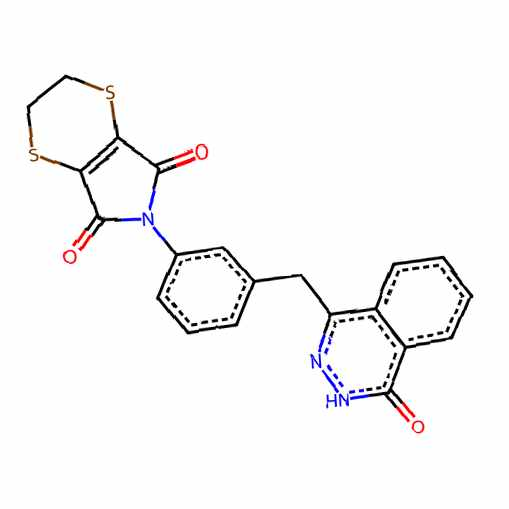 O=C1C2=C(SCCS2)C(=O)N1c1cccc(Cc2n[nH]c(=O)c3ccccc23)c1